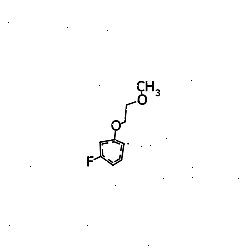 COCCOc1[c]ccc(F)c1